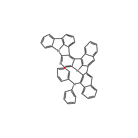 c1ccc(N(c2ccccc2)c2c3ccccc3cc3c4cc5ccccc5c5c6c7c8cccc9c%10ccccc%10n(c7ncc6n(c23)c45)c98)cc1